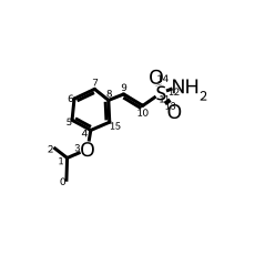 CC(C)Oc1cccc(/C=C/S(N)(=O)=O)c1